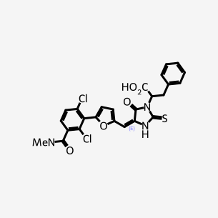 CNC(=O)c1ccc(Cl)c(-c2ccc(/C=C3/NC(=S)N(C(Cc4ccccc4)C(=O)O)C3=O)o2)c1Cl